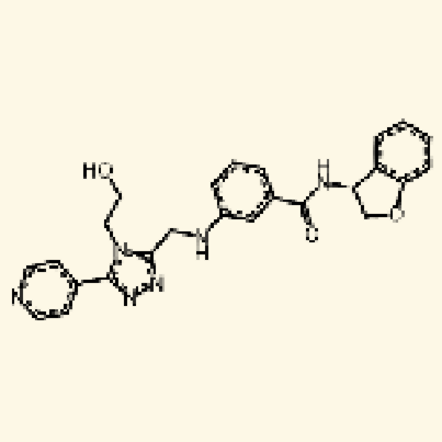 O=C(N[C@@H]1COc2ccccc21)c1cccc(NCc2nnc(-c3ccncc3)n2CCO)c1